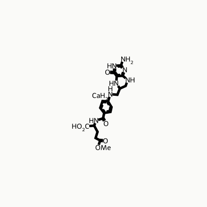 COC(=O)CCC(NC(=O)c1ccc(NCC2CNc3nc(N)[nH]c(=O)c3N2)cc1)C(=O)O.[CaH2]